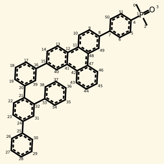 CP(C)(=O)c1ccc(-c2ccc3c4ccc(-c5cccc(-c6ccc(-c7ccccc7)cc6-c6ccccc6)c5)cc4c4ccccc4c3c2)cc1